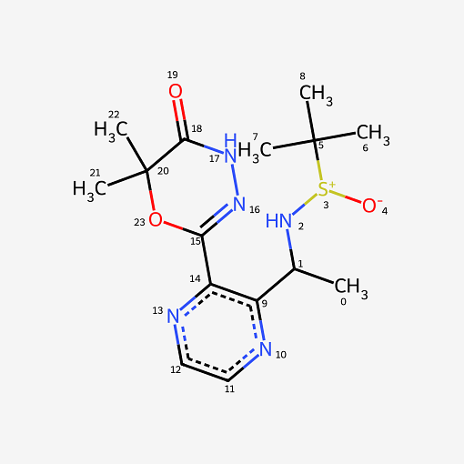 CC(N[S+]([O-])C(C)(C)C)c1nccnc1C1=NNC(=O)C(C)(C)O1